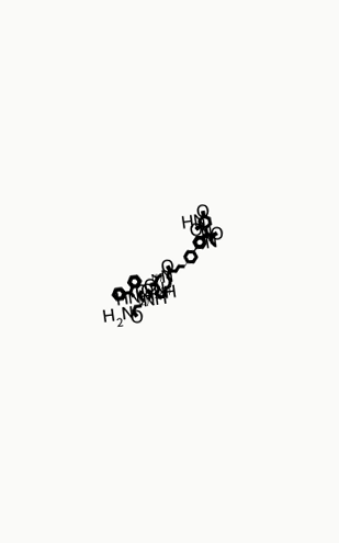 C[C@H]1CN(C(=O)CCC[C@H]2CC[C@H](c3ccc4c(c3)n(C)c(=O)n4C3CCC(=O)NC3=O)CC2)CC[C@H]2CC[C@@H](C(=O)N[C@@H](CCC(N)=O)C(=O)NC(c3ccccc3)c3ccccc3)N2C1=O